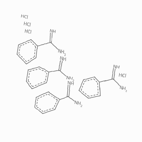 Cl.Cl.Cl.Cl.N=C(N)c1ccccc1.N=C(N)c1ccccc1.N=C(N)c1ccccc1.N=C(N)c1ccccc1